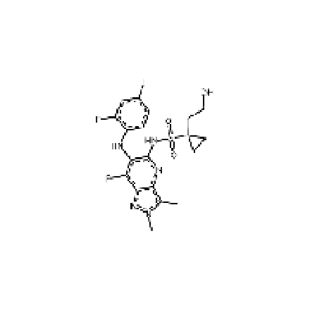 Cc1c2nc(NS(=O)(=O)C3(CCO)CC3)c(Nc3ccc(I)cc3F)c(F)c2nn1C